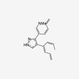 C=C/C=C\C(=C/NC)c1n[nH]cc1C(/C=C\C)=C/C=C